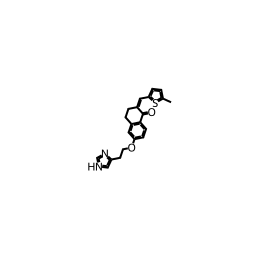 Cc1ccc(C=C2CCc3cc(OCCc4c[nH]cn4)ccc3C2=O)s1